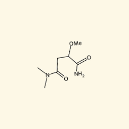 COC(CC(=O)N(C)C)C(N)=O